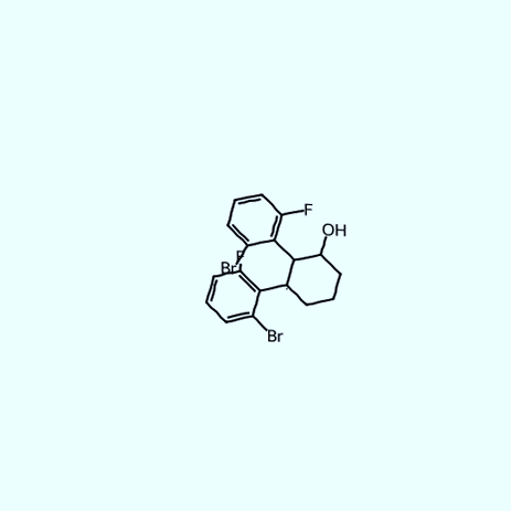 OC1CCC[C](c2c(F)cccc2Br)C1c1c(F)cccc1Br